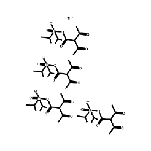 CC(=O)C(C(C)=O)C(=O)[O][Ti](=[O])([O-])([CH](C)C)[CH](C)C.CC(=O)C(C(C)=O)C(=O)[O][Ti](=[O])([O-])([CH](C)C)[CH](C)C.CC(=O)C(C(C)=O)C(=O)[O][Ti](=[O])([O-])([CH](C)C)[CH](C)C.CC(=O)C(C(C)=O)C(=O)[O][Ti](=[O])([O-])([CH](C)C)[CH](C)C.[Ti+4]